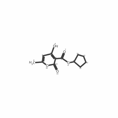 Cc1cc(O)c(C(=O)OC2CCCC2)c(=O)o1